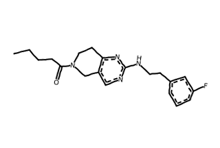 CCCCC(=O)N1CCc2nc(NCCc3cccc(F)c3)ncc2C1